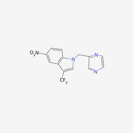 O=[N+]([O-])c1ccc2c(c1)c(C(F)(F)F)cn2Cc1cnccn1